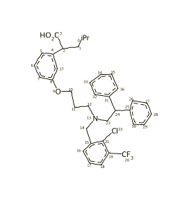 CC(C)CC(C(=O)O)c1cccc(OCCCN(Cc2cccc(C(F)(F)F)c2Cl)CC(c2ccccc2)c2ccccc2)c1